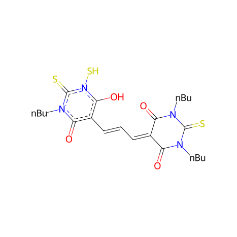 CCCCN1C(=O)C(=CC=Cc2c(O)n(S)c(=S)n(CCCC)c2=O)C(=O)N(CCCC)C1=S